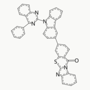 O=c1c2ccc(-c3ccc4c(c3)c3ccccc3n4-c3nc(-c4ccccc4)c4ccccc4n3)cc2sc2nc3ccccc3n12